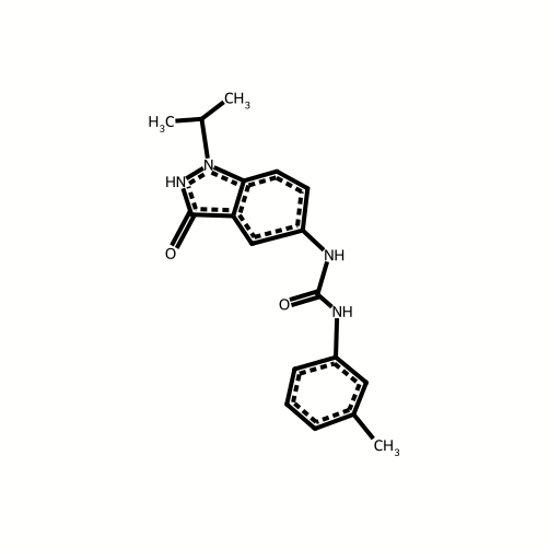 Cc1cccc(NC(=O)Nc2ccc3c(c2)c(=O)[nH]n3C(C)C)c1